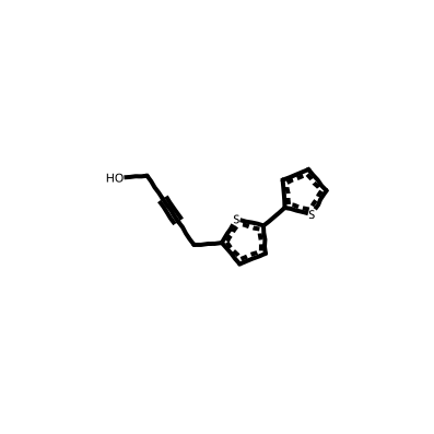 OCC#CCc1ccc(-c2cccs2)s1